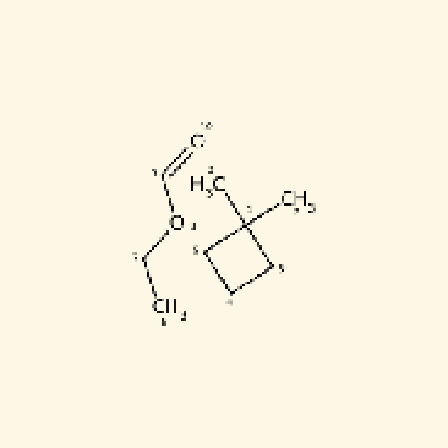 CC1(C)CCC1.CCOC=O